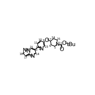 CC(C)(C)OC(=O)N1CCC(Oc2ccc(-c3cnc4ccnn4c3)nc2)CC1